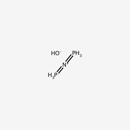 [OH-].[PH3]=[N+]=[PH3]